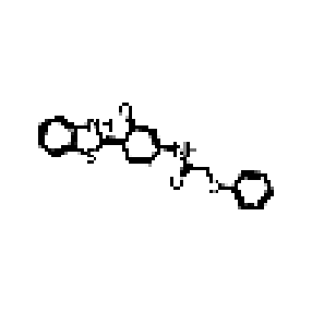 O=C(COc1ccccc1)NC1=CC(=O)/C(=C2\Nc3ccccc3S2)C=C1